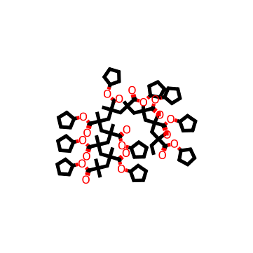 CCC(C)(CC(C)(CC(C)(CC(C)(CC(C)(CC(C)(CC(C)(CC(C)(CC(C)(CC(C)(C)C(=O)OC1CCCC1)C(=O)OC1CCCC1)C(=O)OC1CCCC1)C(=O)OC1CCCC1)C(=O)OC1CCCC1)C(=O)OC1CCCC1)C(=O)OC1CCCC1)C(=O)OC1CCCC1)C(=O)OC1CCCC1)C(=O)OC1CCCC1